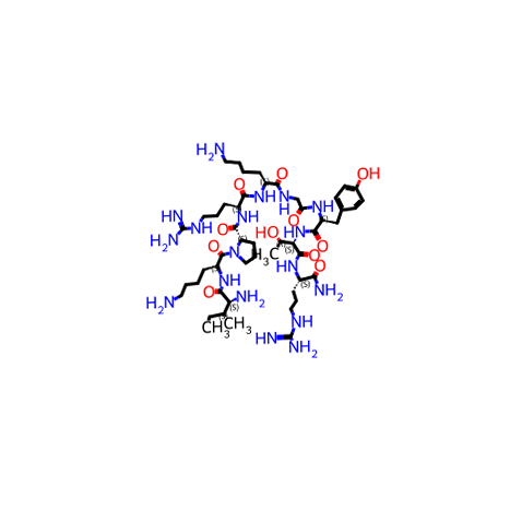 CC[C@H](C)[C@H](N)C(=O)N[C@@H](CCCCN)C(=O)N1CCC[C@H]1C(=O)N[C@@H](CCCNC(=N)N)C(=O)N[C@@H](CCCCN)C(=O)NCC(=O)N[C@@H](Cc1ccc(O)cc1)C(=O)N[C@H](C(=O)N[C@@H](CCCNC(=N)N)C(N)=O)[C@@H](C)O